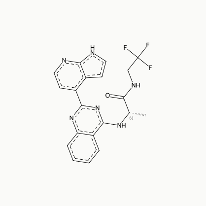 C[C@H](Nc1nc(-c2ccnc3[nH]ccc23)nc2ccccc12)C(=O)NCC(F)(F)F